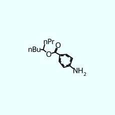 CCCCC(CCC)OC(=O)c1ccc(N)cc1